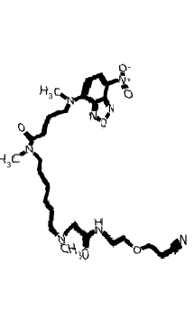 CN(CCCCCCN(C)C(=O)CCCN(C)c1ccc([N+](=O)[O-])c2nonc12)CC(=O)NCCOCCC#N